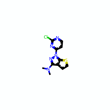 CN(C)c1nn(-c2ccnc(Cl)n2)c2sccc12